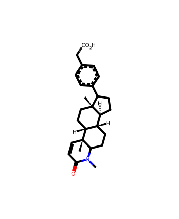 CN1C(=O)C=C[C@@]2(C)C1CC[C@@H]1[C@H]2CC[C@]2(C)C(c3ccc(CC(=O)O)cc3)CC[C@@H]12